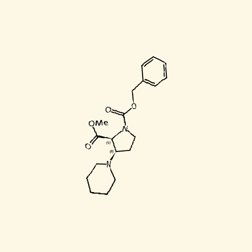 COC(=O)[C@@H]1[C@H](N2CCCCC2)CCN1C(=O)OCc1ccccc1